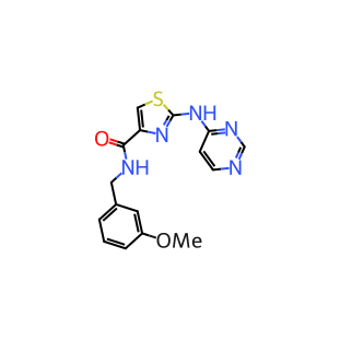 COc1cccc(CNC(=O)c2csc(Nc3ccncn3)n2)c1